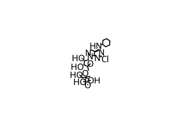 CC(CO)(OCC1O[C@@H](n2ncc3c(NC4CCCCC4)nc(Cl)nc32)[C@H](O)[C@@H]1O)P(=O)(O)O